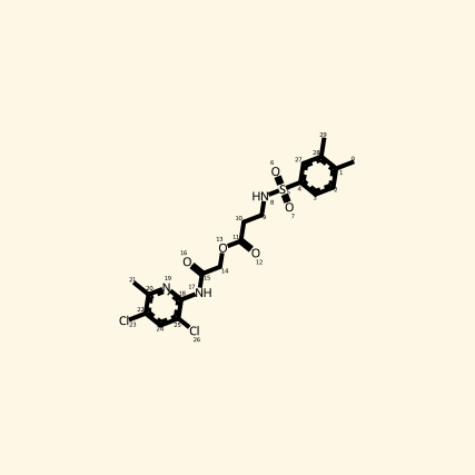 Cc1ccc(S(=O)(=O)NCCC(=O)OCC(=O)Nc2nc(C)c(Cl)cc2Cl)cc1C